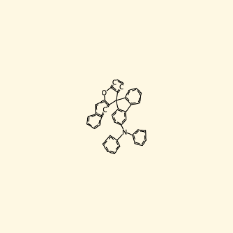 c1ccc(N(c2ccccc2)c2ccc3c(c2)-c2ccccc2C32c3ccccc3Oc3cc4ccccc4cc32)cc1